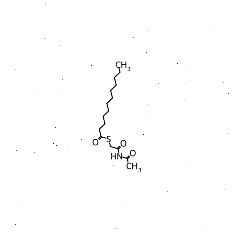 CCCCCCCCCCCC(=O)SCC(=O)NC(C)=O